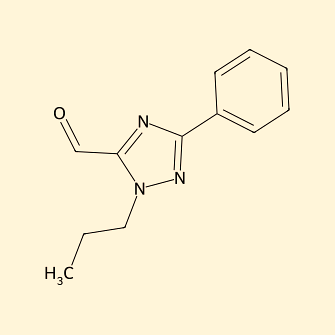 CCCn1nc(-c2ccccc2)nc1C=O